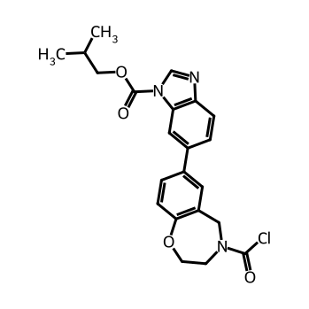 CC(C)COC(=O)n1cnc2ccc(-c3ccc4c(c3)CN(C(=O)Cl)CCO4)cc21